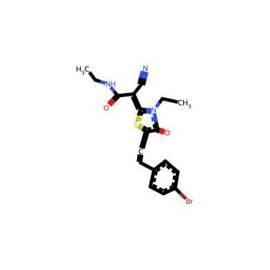 CCNC(=O)/C(C#N)=c1\sc(=C=Cc2ccc(Br)cc2)c(=O)n1CC